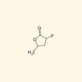 CC1CC(F)C(=O)O1